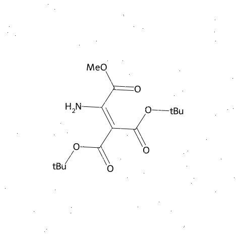 COC(=O)C(N)=C(C(=O)OC(C)(C)C)C(=O)OC(C)(C)C